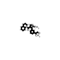 CC(C=O)c1cccc(-c2c(C(=O)N3CCCC4CCCCC43)cnn2C)c1